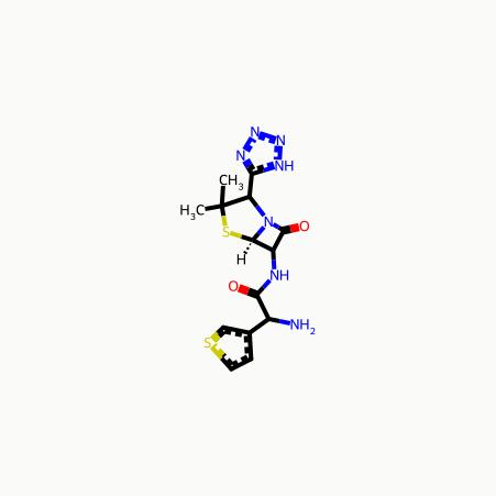 CC1(C)S[C@@H]2C(NC(=O)C(N)c3ccsc3)C(=O)N2C1c1nnn[nH]1